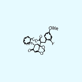 CCC[C@H]1C[C@]2(C(Cc3ccc(OC)cc3F)C(=O)OCc3ccccc3)OCOC2=CC1=O